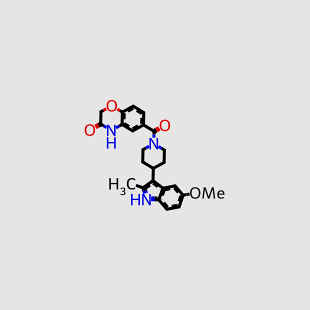 COc1ccc2[nH]c(C)c(C3CCN(C(=O)c4ccc5c(c4)NC(=O)CO5)CC3)c2c1